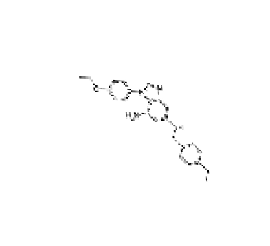 CCOc1ccc(-n2cnc3cc(NCc4ccc(CC)cc4)cc(N)c32)cc1